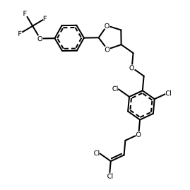 FC(F)(F)Oc1ccc(C2OCC(COCc3c(Cl)cc(OCC=C(Cl)Cl)cc3Cl)O2)cc1